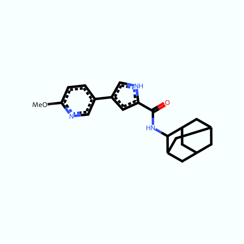 COc1ccc(-c2c[nH]c(C(=O)NC3C4CC5CC(C4)CC3C5)c2)cn1